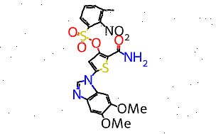 COc1cc2ncn(-c3cc(OS(=O)(=O)c4cccc(C)c4[N+](=O)[O-])c(C(N)=O)s3)c2cc1OC